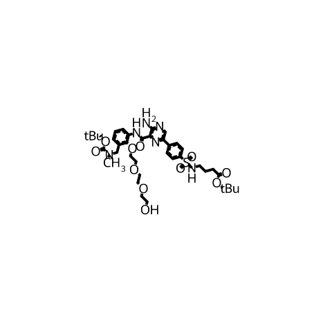 CN(Cc1cccc(NC(=O)c2nc(-c3ccc(S(=O)(=O)NCCCC(=O)OC(C)(C)C)cc3)cnc2N)c1OCCOCCOCCO)C(=O)OC(C)(C)C